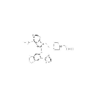 Nc1ncnc2c1nc(Sc1cc3c(cc1-c1ncco1)CCO3)n2CCC1CCN(CC=O)CC1